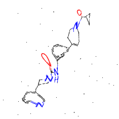 O=C(Nc1ccc(C2=CCN(C(=O)C3CC3)CC2)cc1)N1CC(c2cccnc2)C1